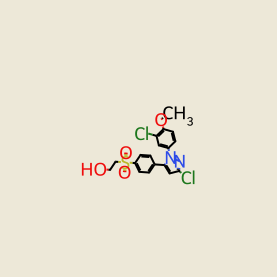 COc1ccc(-n2nc(Cl)cc2-c2ccc(S(=O)(=O)CCO)cc2)cc1Cl